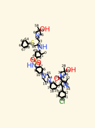 Cc1cc(S(=O)(=O)Nc2ccc(N3CCN(c4cccc(-c5c(C(=O)N6CC(C)(O)C6)c(C)n(C)c5-c5ccc(Cl)cc5)c4)CC3)cc2)ccc1N[C@H](CCN1CC(C)(O)C1)CSc1ccccc1